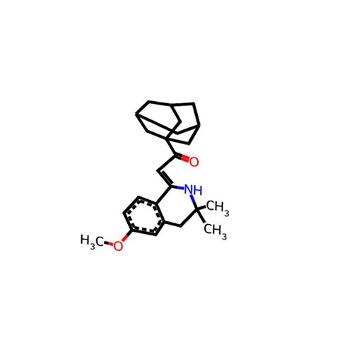 COc1ccc2c(c1)CC(C)(C)NC2=CC(=O)C12CC3CC(CC(C3)C1)C2